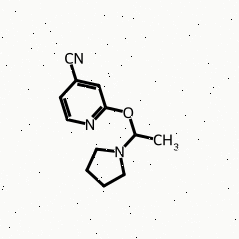 CC(Oc1cc(C#N)ccn1)N1CCCC1